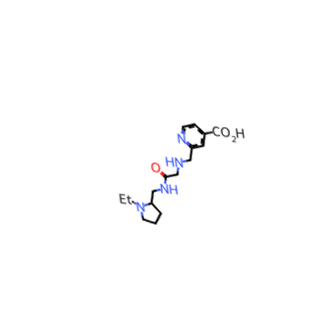 CCN1CCCC1CNC(=O)CNCc1cc(C(=O)O)ccn1